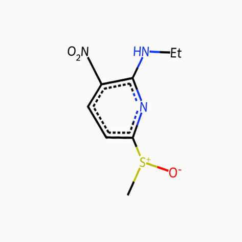 CCNc1nc([S+](C)[O-])ccc1[N+](=O)[O-]